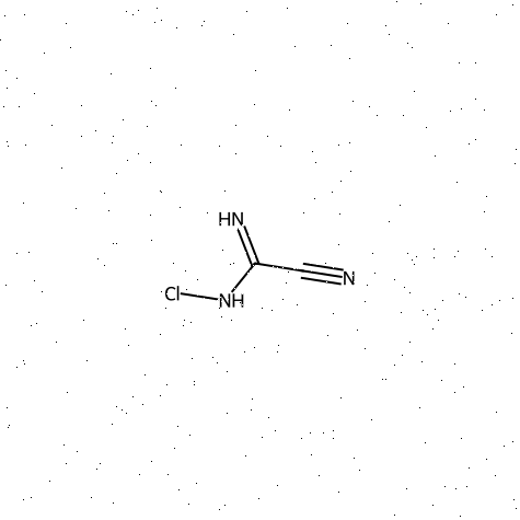 N#CC(=N)NCl